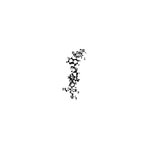 CCCC(C)(C)c1ccc(C(c2ccc(OC(=O)c3ccc(C(=O)OC(C)(C)C)c4ccccc34)cc2)(C(F)(F)F)C(F)(F)F)cc1